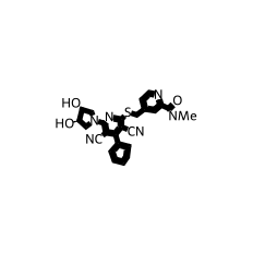 CNC(=O)c1cc(CSc2nc(N3C[C@H](O)[C@@H](O)C3)c(C#N)c(-c3ccccc3)c2C#N)ccn1